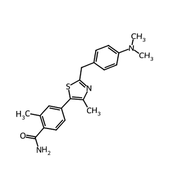 Cc1cc(-c2sc(Cc3ccc(N(C)C)cc3)nc2C)ccc1C(N)=O